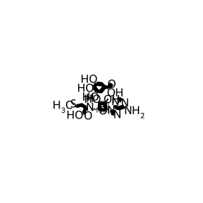 CSCCC(NC[C@H]1O[C@@H](n2cnc3c(N)ncnc32)[C@H](O)[C@@H]1O)C(=O)O.O=C(O)c1cc(O)c(O)c(O)c1